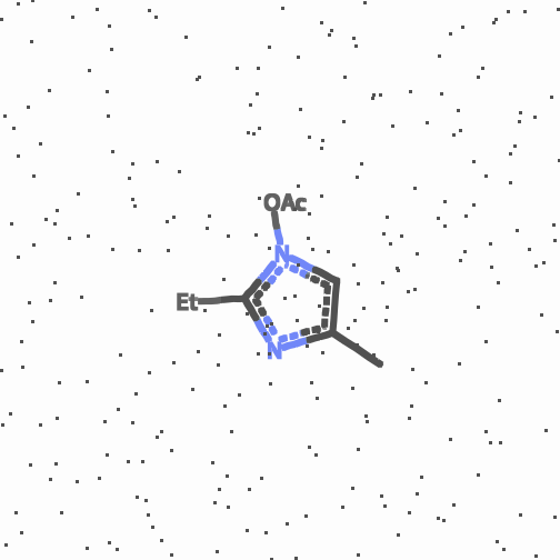 CCc1nc(C)cn1OC(C)=O